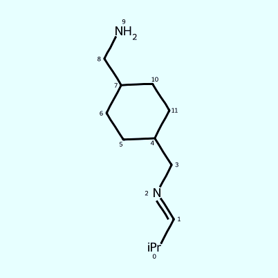 CC(C)/C=N/CC1CCC(CN)CC1